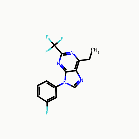 CCc1nc(C(F)(F)F)nc2c1ncn2-c1cccc(F)c1